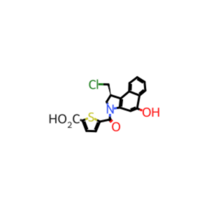 O=C(O)c1ccc(C(=O)N2C[C@@H](CCl)c3c2cc(O)c2ccccc32)s1